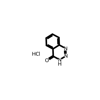 Cl.O=c1[nH]nnc2ccccc12